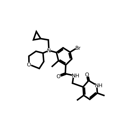 Cc1cc(C)c(CNC(=O)c2cc(Br)cc(N(CC3CC3)C3CCOCC3)c2C)c(=O)[nH]1